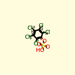 O=S(=O)(O)Oc1c(Cl)c(Cl)c(Cl)c(Cl)c1Cl